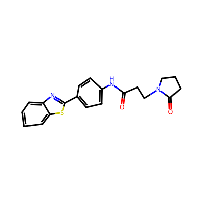 O=C(CCN1CCCC1=O)Nc1ccc(-c2nc3ccccc3s2)cc1